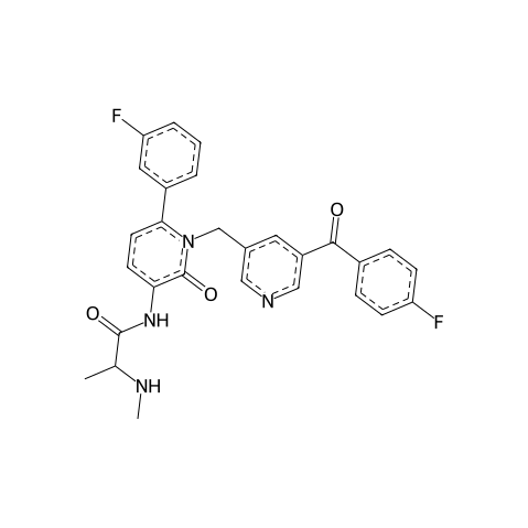 CNC(C)C(=O)Nc1ccc(-c2cccc(F)c2)n(Cc2cncc(C(=O)c3ccc(F)cc3)c2)c1=O